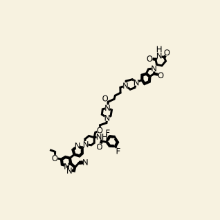 CCOc1cc(-c2ccc(N3CCC(COCCN4CCN(C(=O)CCCCN5CCN(c6ccc7c(c6)CN(C6CCC(=O)NC6=O)C7=O)CC5)CC4)(NC(=O)c4cc(F)ccc4F)CC3)nc2)c2c(C#N)cnn2c1